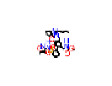 CCCCC1=NC2(CCCC2)C(=O)N1Cc1ccc(-c2ccccc2S(=O)(=O)Nc2noc(C)c2C)c(CNC(=O)OC)c1